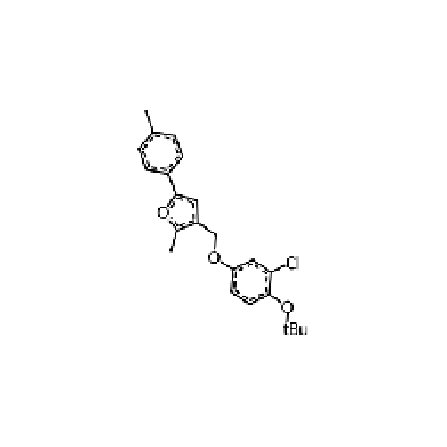 Cc1ccc(-c2cc(COc3ccc(OC(C)(C)C)c(Cl)c3)c(C)o2)cc1